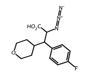 [N-]=[N+]=NC(C(=O)O)C(c1ccc(F)cc1)C1CCOCC1